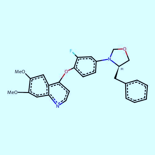 COc1cc2nccc(Oc3ccc(N4COC[C@H]4Cc4ccccc4)cc3F)c2cc1OC